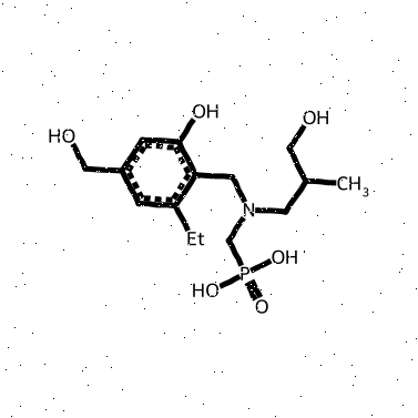 CCc1cc(CO)cc(O)c1CN(CC(C)CO)CP(=O)(O)O